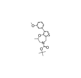 COc1cccc(-c2csc3c2OC(C)CN(C(=O)OC(C)(C)C)C3)c1